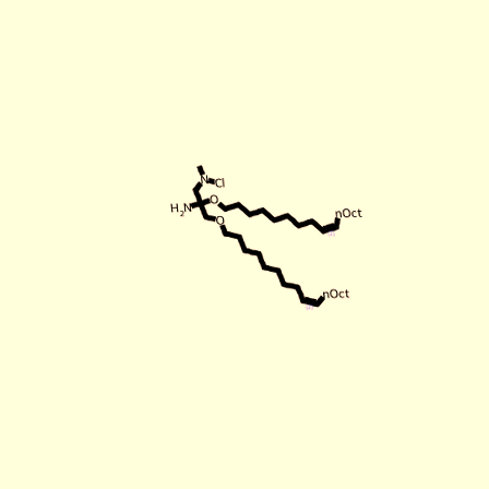 CCCCCCCC/C=C\CCCCCCCCOCC(N)(CN(C)Cl)OCCCCCCCC/C=C\CCCCCCCC